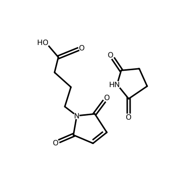 O=C(O)CCCN1C(=O)C=CC1=O.O=C1CCC(=O)N1